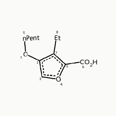 CCCCCOc1coc(C(=O)O)c1CC